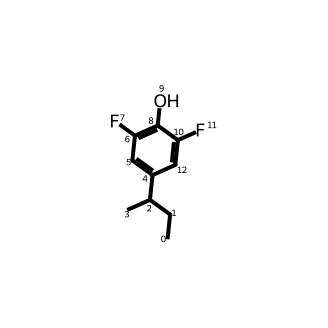 CCC(C)c1cc(F)c(O)c(F)c1